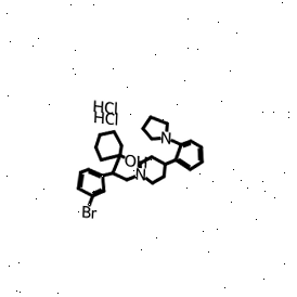 Cl.Cl.OC1(C(CN2CCC(c3ccccc3N3CCCC3)CC2)c2cccc(Br)c2)CCCCC1